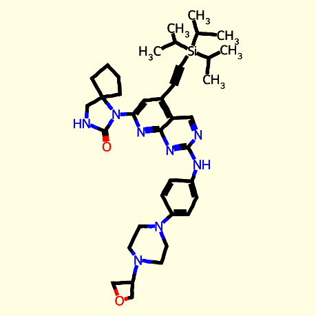 CC(C)[Si](C#Cc1cc(N2C(=O)NCC23CCCC3)nc2nc(Nc3ccc(N4CCN(C5COC5)CC4)cc3)ncc12)(C(C)C)C(C)C